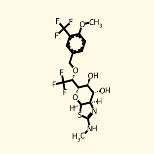 CNC1=N[C@@H]2[C@@H](O)[C@H](O)[C@@H]([C@@H](OCc3ccc(OC)c(C(F)(F)F)c3)C(F)(F)F)O[C@@H]2S1